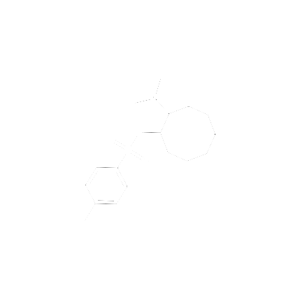 Cc1ccc(S(=O)(=O)OC2CCCCCCC2N(C)C)cc1